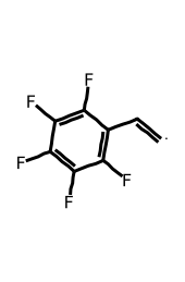 [CH]=Cc1c(F)c(F)c(F)c(F)c1F